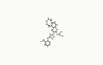 COc1ncccc1CN1CC[C@@H](C(=O)N(Cc2ccc3c(c2)OCCCO3)CC(C)C)C1